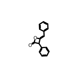 O=C1OC(=Cc2ccccc2)C1c1ccccc1